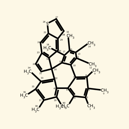 Cc1c(C)c(C)c2c(c1C)-c1c(C)c(C)c(C)c(C)c1C1(C=Cc3cc4sccc4cc31)c1c(C)c(C)c(C)c(C)c1-2